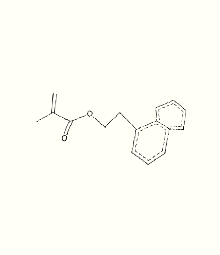 C=C(C)C(=O)OCCc1cccc2ccccc12